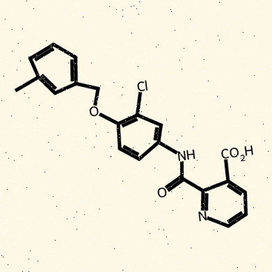 Cc1cccc(COc2ccc(NC(=O)c3ncccc3C(=O)O)cc2Cl)c1